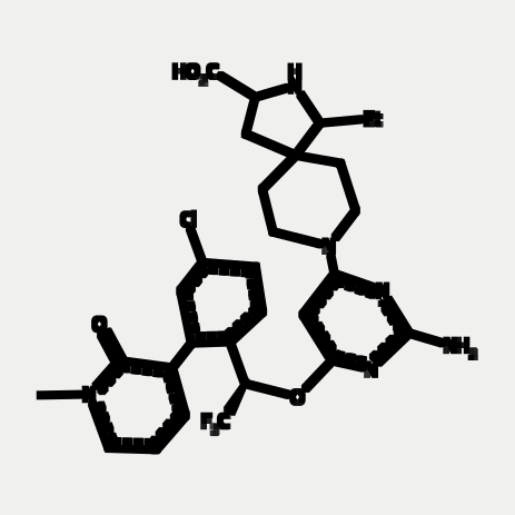 CCC1NC(C(=O)O)CC12CCN(c1cc(O[C@H](c3ccc(Cl)cc3-c3cccn(C)c3=O)C(F)(F)F)nc(N)n1)CC2